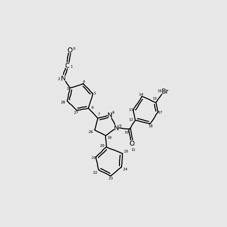 O=C=Nc1ccc(C2=NN(C(=O)c3ccc(Br)cc3)C(c3ccccc3)C2)cc1